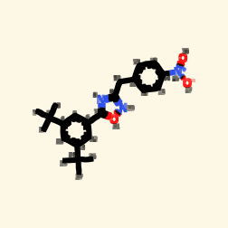 CC(C)(C)c1cc(-c2nc(Cc3ccc([N+](=O)[O-])cc3)no2)cc(C(C)(C)C)c1